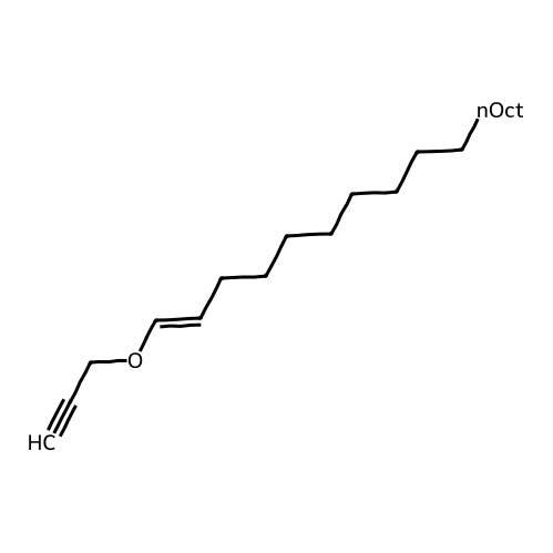 C#CCOC=CCCCCCCCCCCCCCCCC